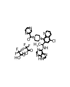 CC(Nc1ncnc2[nH]cnc12)c1cc(Cl)c2cccnc2c1N1CCN(C(=O)c2cnccn2)CC1.O=C(O)C(F)(F)F.O=C(O)C(F)(F)F